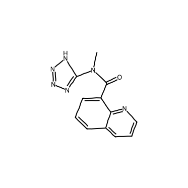 CN(C(=O)c1cccc2cccnc12)c1nnn[nH]1